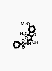 COc1cccc(C2(C)OC(NS(=O)(=O)c3ccccc3)=C(O)C2=O)c1